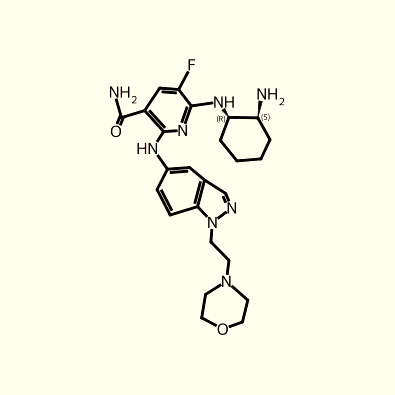 NC(=O)c1cc(F)c(N[C@@H]2CCCC[C@@H]2N)nc1Nc1ccc2c(cnn2CCN2CCOCC2)c1